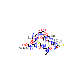 C#CCNC(=O)CSC[C@H](NC(=O)[C@H](CC)NC(=O)CNC(=O)[C@@H](NC(=O)[C@@H](NC(=O)[C@@H](NC(=O)[C@H](CSCC(=O)NCC#C)NC(=O)[C@H](CCC(=O)O)NC(=O)[C@@H](N)CS)C(C)CC)C(C)O)C(C)O)C(=O)N[C@@H](C)C(=O)N[C@@H](CO)C(=O)O